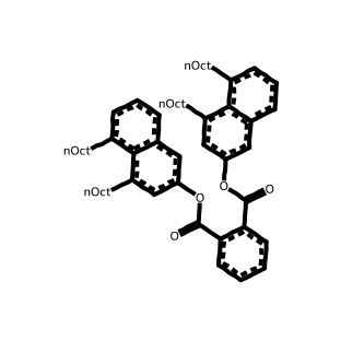 CCCCCCCCc1cccc2cc(OC(=O)c3ccccc3C(=O)Oc3cc(CCCCCCCC)c4c(CCCCCCCC)cccc4c3)cc(CCCCCCCC)c12